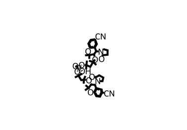 CC(C)(CC(C)(C)OP(=O)(O)OC(C)(C)CC(C)(C)OC1C(N2CCCC2=O)c2cc(C#N)ccc2OC1(C)C)OC1C(N2CCCC2=O)c2cc(C#N)ccc2OC1(C)C